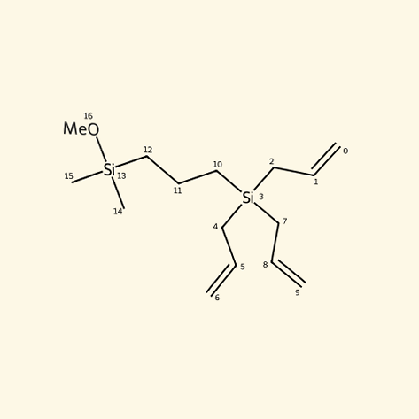 C=CC[Si](CC=C)(CC=C)CCC[Si](C)(C)OC